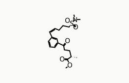 COC(=O)[C@@H](C)CCC(=O)c1cccc(/C=C\CCCS(=O)(=O)N(C)C)c1